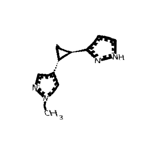 Cn1cc([C@@H]2C[C@H]2c2cc[nH]n2)cn1